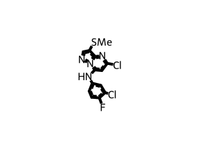 CSc1cnn2c(Nc3ccc(F)c(Cl)c3)cc(Cl)nc12